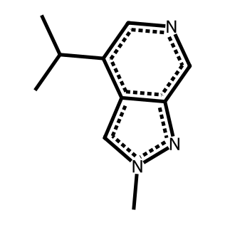 CC(C)c1cncc2nn(C)cc12